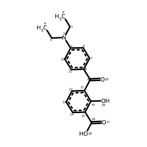 CCN(CC)c1ccc(C(=O)c2cccc(C(=O)O)c2O)cc1